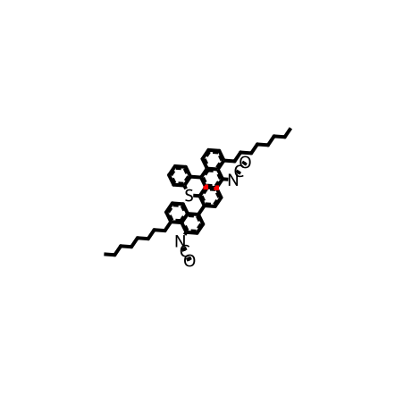 CCCCCCCCc1cccc2c(-c3ccccc3Sc3ccccc3-c3ccc(N=C=O)c4c(CCCCCCCC)cccc34)ccc(N=C=O)c12